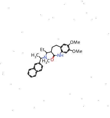 CCC(C1CCc2cc(OC)c(OC)cc2NC1=O)N(C)C(C)c1ccc2ccccc2c1